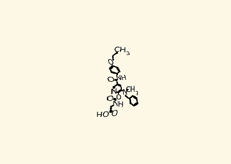 CCCCOc1ccc(NC(=O)c2cnc(OC(=O)NCC(=O)O)c(N(C)Cc3ccccc3)c2)cc1